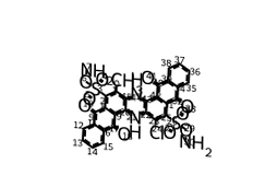 Cc1c(S(=O)(=O)ON)c2c(=O)c3ccccc3c(=O)c2c2[nH]c3c(Cl)c(S(=O)(=O)ON)c4c(=O)c5ccccc5c(=O)c4c3[nH]c12